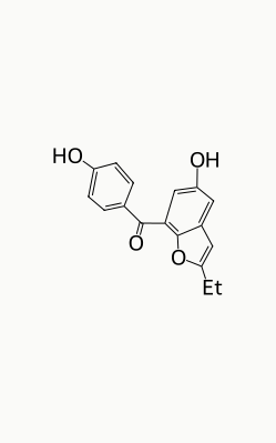 CCc1cc2cc(O)cc(C(=O)c3ccc(O)cc3)c2o1